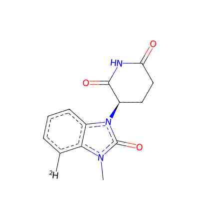 [2H]c1cccc2c1n(C)c(=O)n2[C@@H]1CCC(=O)NC1=O